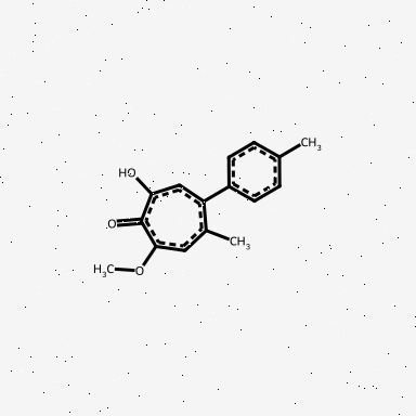 COc1cc(C)c(-c2ccc(C)cc2)cc(O)c1=O